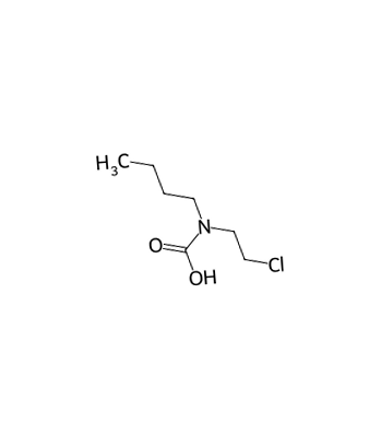 CCCCN(CCCl)C(=O)O